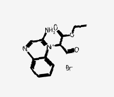 CCOC(=O)C(C=O)[n+]1c(N)cnc2ccccc21.[Br-]